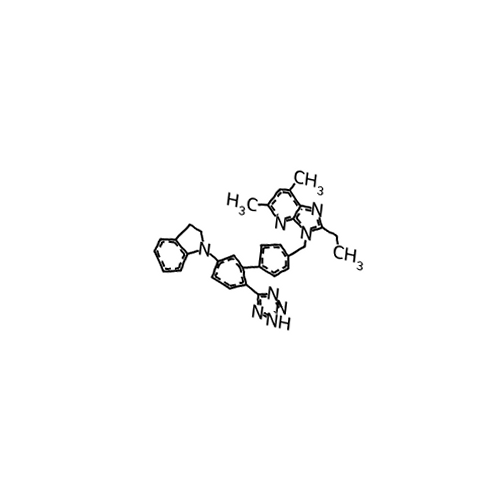 CCc1nc2c(C)cc(C)nc2n1Cc1ccc(-c2cc(N3CCc4ccccc43)ccc2-c2nn[nH]n2)cc1